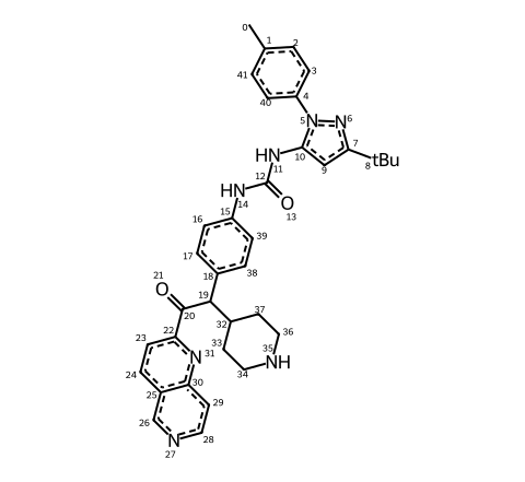 Cc1ccc(-n2nc(C(C)(C)C)cc2NC(=O)Nc2ccc(C(C(=O)c3ccc4cnccc4n3)C3CCNCC3)cc2)cc1